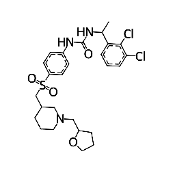 CC(NC(=O)Nc1ccc(S(=O)(=O)CC2CCCN(CC3CCCO3)C2)cc1)c1cccc(Cl)c1Cl